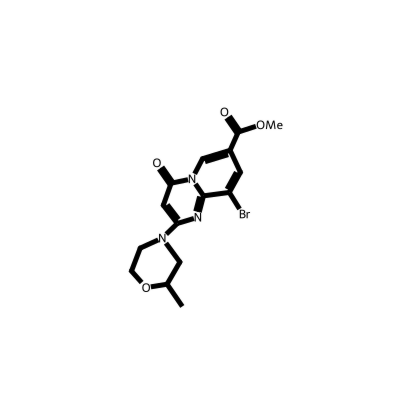 COC(=O)c1cc(Br)c2nc(N3CCOC(C)C3)cc(=O)n2c1